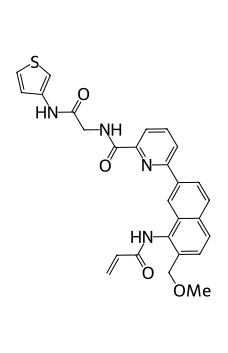 C=CC(=O)Nc1c(COC)ccc2ccc(-c3cccc(C(=O)NCC(=O)Nc4ccsc4)n3)cc12